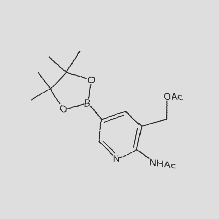 CC(=O)Nc1ncc(B2OC(C)(C)C(C)(C)O2)cc1COC(C)=O